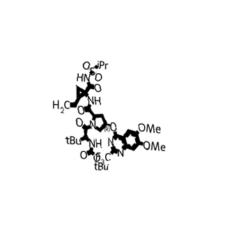 C=CC1CC1(NC(=O)C1C[C@@H](Oc2nc(C(F)(F)F)nc3cc(OC)c(OC)cc23)CN1C(=O)C(NC(=O)OC(C)(C)C)C(C)(C)C)C(=O)NS(=O)(=O)C(C)C